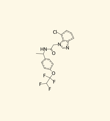 CC(NC(=O)Cn1cnc2cccc(Cl)c21)c1ccc(OC(F)(F)C(F)F)cc1